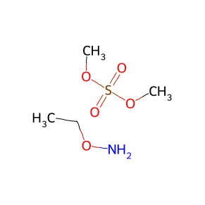 CCON.COS(=O)(=O)OC